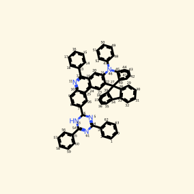 c1ccc(C2=NC(c3ccc4nc(-c5ccccc5)c5cc6c(cc5c4c3)C3(c4ccccc4-c4ccccc43)c3ccccc3N6c3ccccc3)NC(c3ccccc3)=N2)cc1